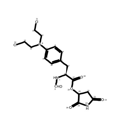 O=CN[C@@H](Cc1ccc(N(CCCl)CCCl)cc1)C(=O)OC1CC(=O)NC1=O